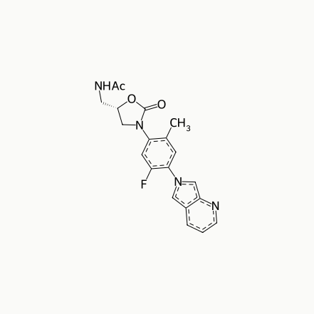 CC(=O)NC[C@H]1CN(c2cc(F)c(-n3cc4cccnc4c3)cc2C)C(=O)O1